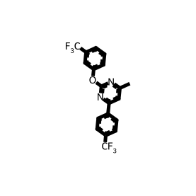 Cc1cc(-c2ccc(C(F)(F)F)cc2)nc(Oc2cccc(C(F)(F)F)c2)n1